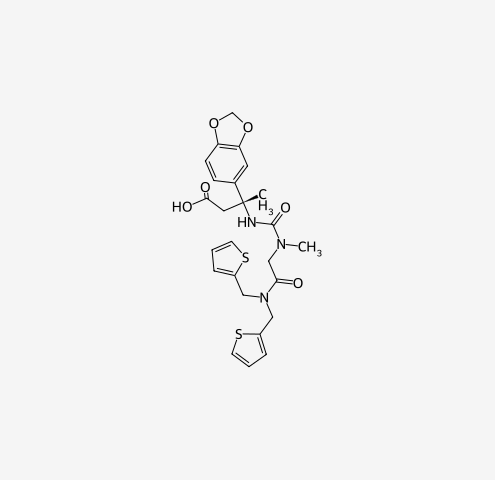 CN(CC(=O)N(Cc1cccs1)Cc1cccs1)C(=O)N[C@](C)(CC(=O)O)c1ccc2c(c1)OCO2